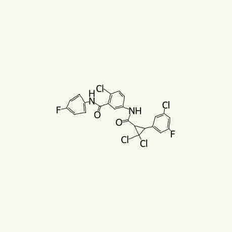 O=C(Nc1ccc(F)cc1)c1cc(NC(=O)C2C(c3cc(F)cc(Cl)c3)C2(Cl)Cl)ccc1Cl